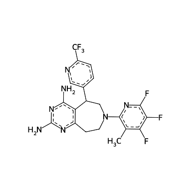 Cc1c(N2CCc3nc(N)nc(N)c3C(c3ccc(C(F)(F)F)nc3)C2)nc(F)c(F)c1F